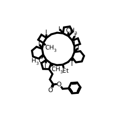 CCC1CC2(I)CCCCC2(I)C2(I)CCC2(I)C2(C)CCCC2(I)CCC2(I)CCC2(C)C2(I)CCCCC2(C)C2(I)CCC(CCC(=O)OCc3ccccc3)C2(C)C1